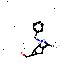 CCOC(=O)c1nn(Cc2ccccc2)c2c1CC1C(CO)C21